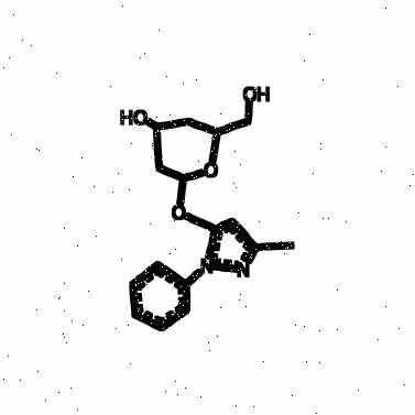 Cc1cc(OC2CC(O)CC(CO)O2)n(-c2ccccc2)n1